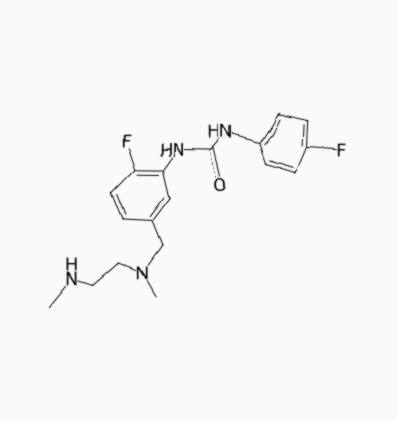 CNCCN(C)Cc1ccc(F)c(NC(=O)Nc2ccc(F)cc2)c1